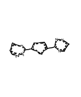 c1cnc(-c2ccc(-c3nccnn3)cc2)nn1